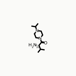 CC(C)[C@H](N)C(=O)N1CCN(C(C)C)CC1